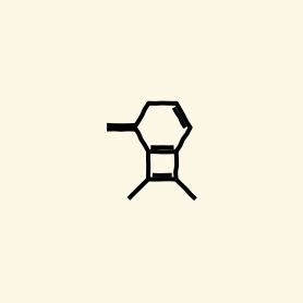 C=C1CC=CC2=C1C(C)=C2C